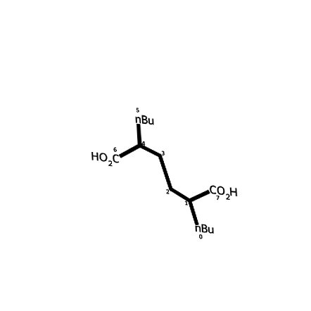 CCCCC(CCC(CCCC)C(=O)O)C(=O)O